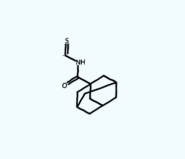 O=C(N[C]=S)C12CC3CC(CC(C3)C1)C2